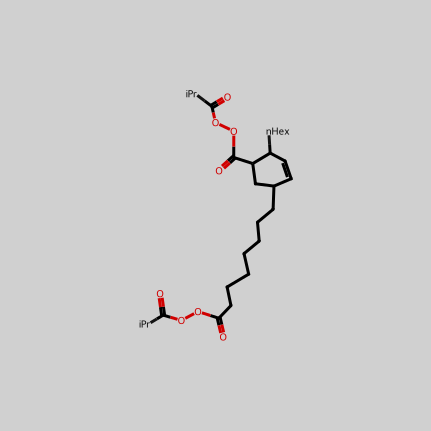 CCCCCCC1C=CC(CCCCCCCC(=O)OOC(=O)C(C)C)CC1C(=O)OOC(=O)C(C)C